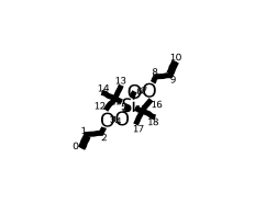 C=CCOO[Si](OOCC=C)(C(C)(C)C)C(C)(C)C